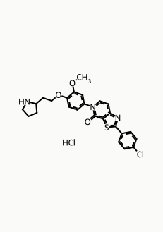 COc1cc(-n2ccc3nc(-c4ccc(Cl)cc4)sc3c2=O)ccc1OCCC1CCCN1.Cl